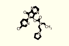 CCN(CCN1CCCC1)C(=O)O[C@@H]1c2nccnc2C(=O)N1c1ccc(Cl)cn1